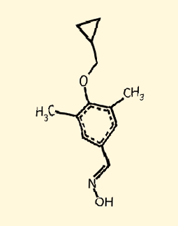 Cc1cc(C=NO)cc(C)c1OCC1CC1